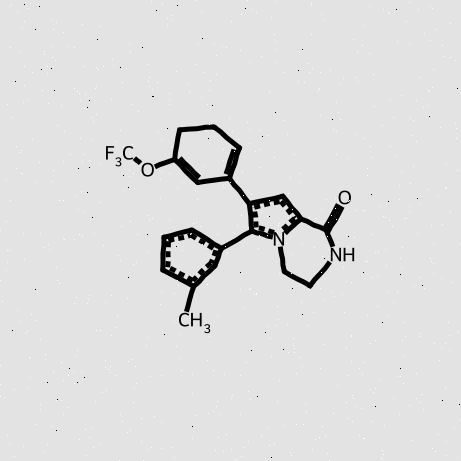 Cc1cccc(-c2c(C3=CCCC(OC(F)(F)F)=C3)cc3n2CCNC3=O)c1